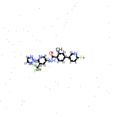 Cc1cc(-c2ccc(F)nc2)ccc1C(=O)Nc1cnc(-n2nccn2)c(C(F)(F)F)c1